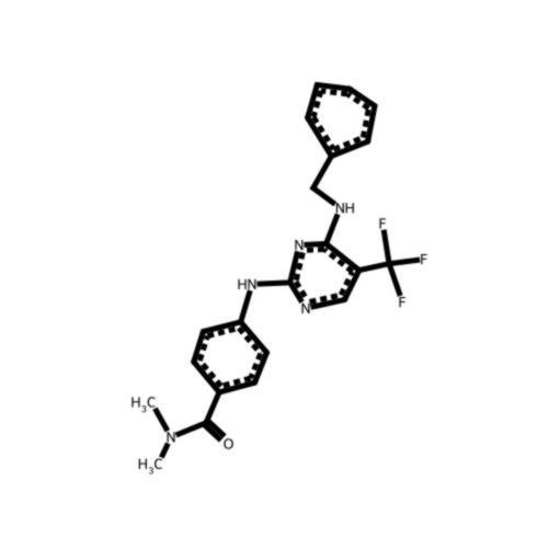 CN(C)C(=O)c1ccc(Nc2ncc(C(F)(F)F)c(NCc3ccccc3)n2)cc1